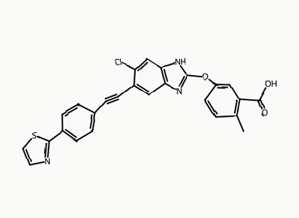 Cc1ccc(Oc2nc3cc(C#Cc4ccc(-c5nccs5)cc4)c(Cl)cc3[nH]2)cc1C(=O)O